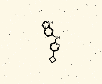 c1cc2ccc(Nc3ccc(C4CCC4)cn3)cc2[nH]1